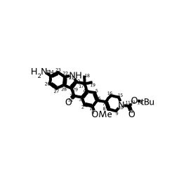 COc1cc2c(cc1C1=CCN(C(=O)OC(C)(C)C)CC1)C(C)(C)c1[nH]c3cc(N)ccc3c1C2=O